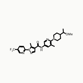 COC(C)C1CCN(c2ncc(NC(=O)c3cnn(-c4ccc(C(F)(F)F)cn4)c3C)cc2C)CC1